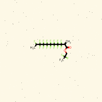 C=C(C(=O)OCC(F)(F)C(F)(F)F)C(F)(F)C(F)(F)C(F)(F)C(F)(F)C(F)(F)C(F)(F)C(F)(F)C(C)F